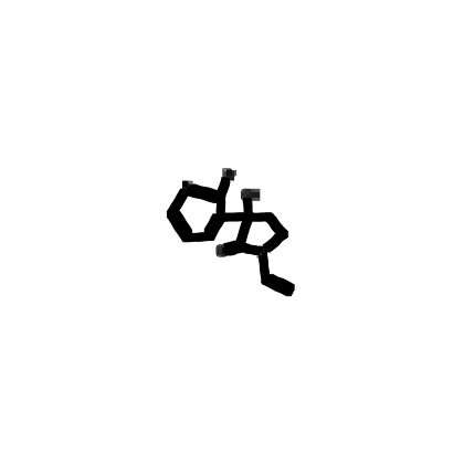 C=CN1CCC(O)(c2cccnc2Br)C1=O